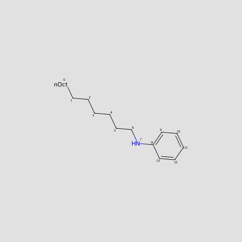 CCCCCCCCCCCCCCNc1cc[c]cc1